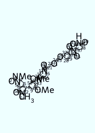 CNC(=O)N1CCc2c(-c3cc(OC)c(CN4CC5CN(C(=O)CCOCCOc6ccc7c(c6)C(=O)N(C6CCC(=O)NC6=O)C7=O)CCC54)c(OC)c3)cn(C)c(=O)c2C1